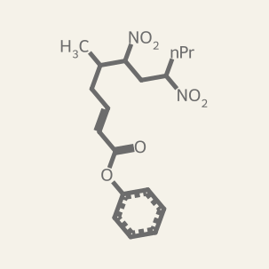 CCCC(CC(C(C)C/C=C/C(=O)Oc1ccccc1)[N+](=O)[O-])[N+](=O)[O-]